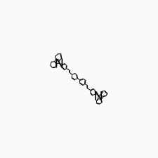 C1=Cc2c(c3c(n2-c2ccc(/C=C/C4C=CC(c5ccc(/C=C/c6ccc(-n7c8ccccc8c8ccccc87)cc6)cc5)=CC4)cc2)C=CCC3)CC1